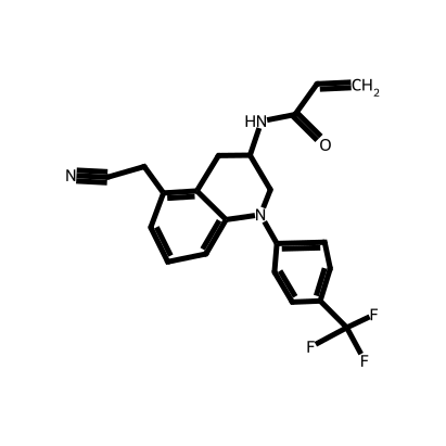 C=CC(=O)NC1Cc2c(CC#N)cccc2N(c2ccc(C(F)(F)F)cc2)C1